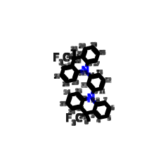 CC1(C(F)(F)F)c2ccccc2N(c2cccc(N3c4ccccc4C(C)(C(F)(F)F)c4ccccc43)c2)c2ccccc21